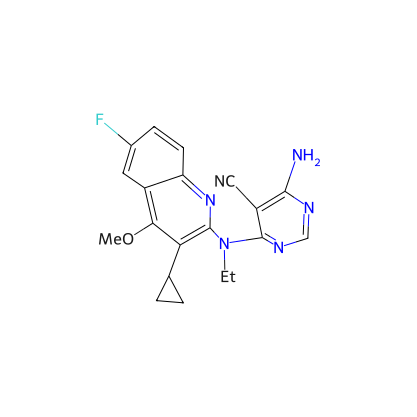 CCN(c1ncnc(N)c1C#N)c1nc2ccc(F)cc2c(OC)c1C1CC1